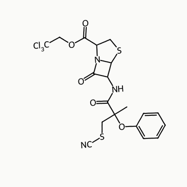 CC(CSC#N)(Oc1ccccc1)C(=O)NC1C(=O)N2C(C(=O)OCC(Cl)(Cl)Cl)CSC12